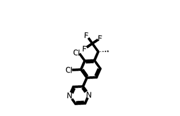 C[C@H](c1ccc(-c2cnccn2)c(Cl)c1Cl)C(F)(F)F